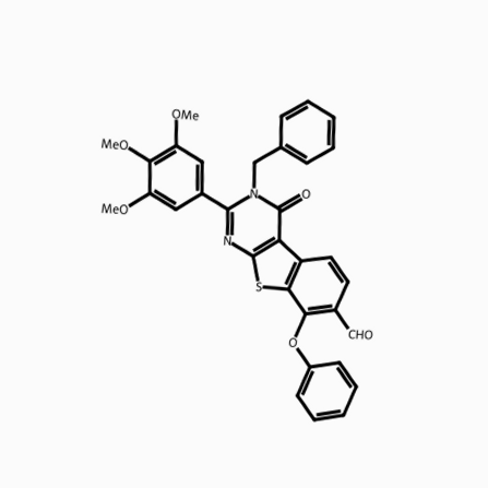 COc1cc(-c2nc3sc4c(Oc5ccccc5)c(C=O)ccc4c3c(=O)n2Cc2ccccc2)cc(OC)c1OC